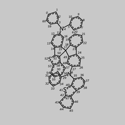 c1ccc(N(c2ccccc2)c2ccc3c(c2)C2(c4ccccc4-c4ccc(N(c5ccccc5)c5cccc6c5sc5ccccc56)cc42)c2c-3sc3ccccc23)cc1